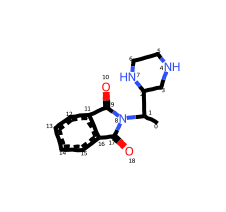 CC(C1CNCCN1)N1C(=O)c2ccccc2C1=O